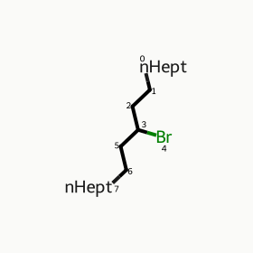 CCCCCCCCCC(Br)CCCCCCCCC